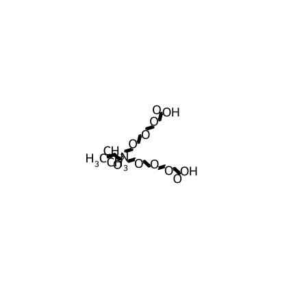 CC(C)(C)CC(=O)N(CCOCCOCCOCC(=O)O)CCOCCOCCOCC(=O)O